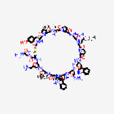 CCCC[C@@H]1C(=O)N(C)[C@H](CCCC)C(=O)N[C@@H](CCCN)C(=O)N[C@@H](C(=O)NCC(N)=O)CSCC(=O)N[C@@H](Cc2ccc(O)cc2)C(=O)N2CCCC2C(=O)N[C@H](CC(=O)O)C(=O)N2CCC[C@H]2C(=O)N[C@H](CN)C(=O)N[C@@H](CCC(=O)O)C(=O)N2CCCC2C(=O)N[C@H](Cc2c[nH]c3ccccc23)C(=O)N[C@@H](CCN)C(=O)N[C@@H](Cc2c[nH]c3ccccc23)C(=O)N1C